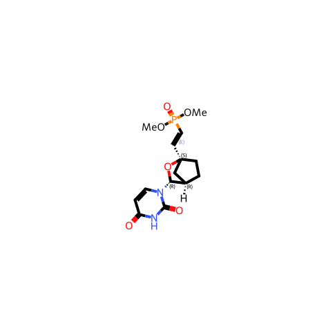 COP(=O)(/C=C/[C@]12CC[C@H](C1)[C@H](n1ccc(=O)[nH]c1=O)O2)OC